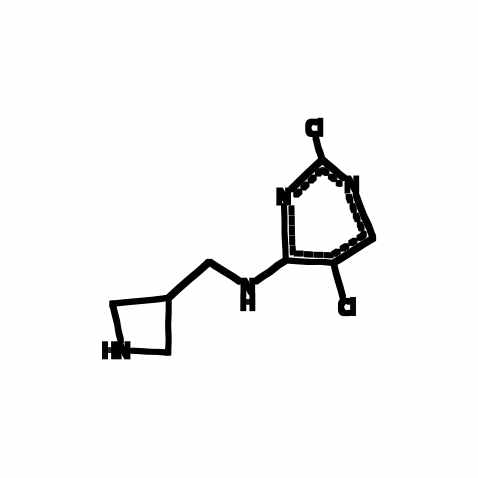 Clc1ncc(Cl)c(NCC2CNC2)n1